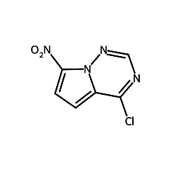 O=[N+]([O-])c1ccc2c(Cl)ncnn12